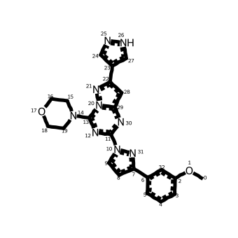 COc1cccc(-c2ccn(-c3nc(N4CCOCC4)n4nc(-c5cn[nH]c5)cc4n3)n2)c1